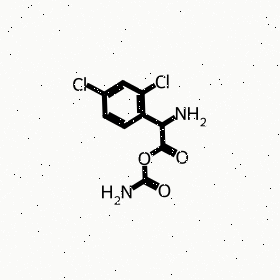 NC(=O)OC(=O)C(N)c1ccc(Cl)cc1Cl